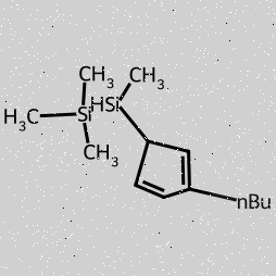 CCCCC1=CC([SiH](C)[Si](C)(C)C)C=C1